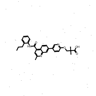 CCCc1ccccc1NC(=O)c1cc(C)nc2cc(-c3ccc(OCC(C)(C)C(=O)O)nc3)ccc12